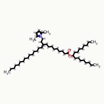 CCCCCCCCCCCCCC/C=C(/CCCCCCCCC(=O)OC(CCCCCCCC)CCCCCCCC)CCn1c(C)ccc1C